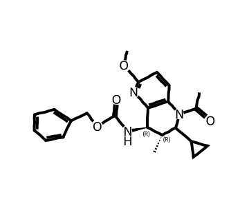 COc1ccc2c(n1)[C@H](NC(=O)OCc1ccccc1)[C@@H](C)C(C1CC1)N2C(C)=O